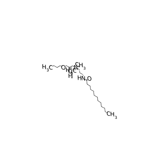 CCCCCCCCCCCCC(=O)NCCC[N+](C)(C)C[C@H](O)COCCCC